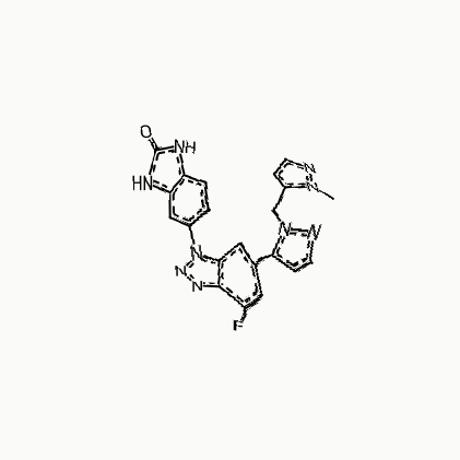 Cn1nccc1Cn1nccc1-c1cc(F)c2nnn(-c3ccc4[nH]c(=O)[nH]c4c3)c2c1